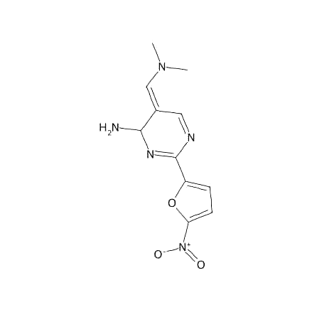 CN(C)C=C1C=NC(c2ccc([N+](=O)[O-])o2)=NC1N